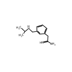 CC(C)NCc1cccc(CC(=N)N)c1